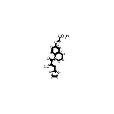 N#CC(=Cc1nccs1)C(=O)N1CCCc2cc(OCC(=O)O)ccc21